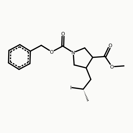 COC(=O)C1CN(C(=O)OCc2ccccc2)CC1C[C@H](C)I